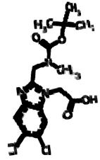 CN(Cc1nc2cc(Cl)c(Cl)cc2n1CC(=O)O)C(=O)OC(C)(C)C